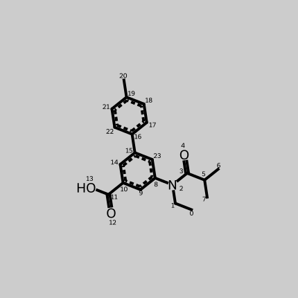 CCN(C(=O)C(C)C)c1cc(C(=O)O)cc(-c2ccc(C)cc2)c1